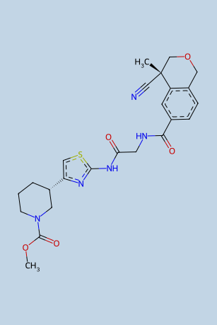 COC(=O)N1CCC[C@H](c2csc(NC(=O)CNC(=O)c3ccc4c(c3)[C@](C)(C#N)COC4)n2)C1